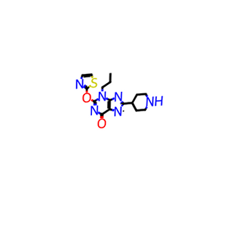 CCCn1c(Oc2nccs2)nc(=O)c2c1N=C(C1CCNCC1)[N]2